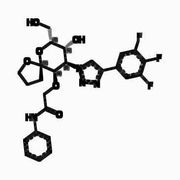 O=C(CO[C@@H]1[C@H](n2cc(-c3cc(F)c(F)c(F)c3)nn2)[C@@H](O)[C@@H](CO)O[C@]12CCCO2)Nc1ccccc1